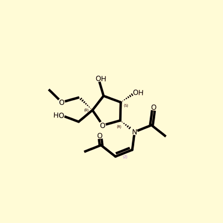 COC[C@@]1(CO)O[C@@H](N(/C=C\C(C)=O)C(C)=O)[C@@H](O)C1O